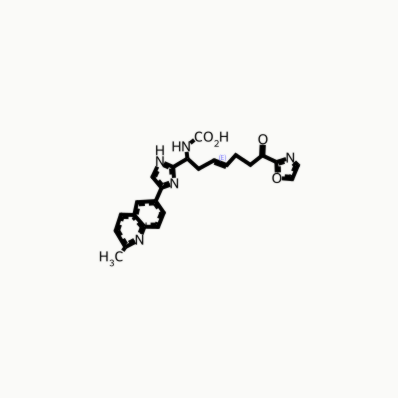 Cc1ccc2cc(-c3c[nH]c(C(C/C=C/CCC(=O)c4ncco4)NC(=O)O)n3)ccc2n1